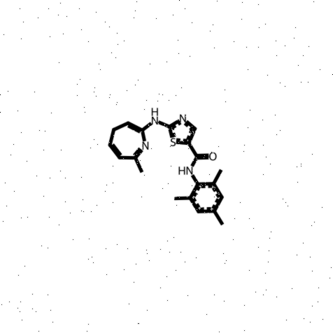 CC1=NC(Nc2ncc(C(=O)Nc3c(C)cc(C)cc3C)s2)=CCC=C1